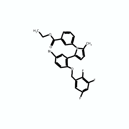 CCOC(=O)c1cccc(-n2c(C)ccc2-c2cc(Br)ccc2OCc2cc(F)cc(F)c2F)c1